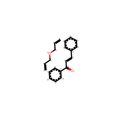 C=CCOCC=C.O=C(/C=C/c1ccccc1)c1ccccc1